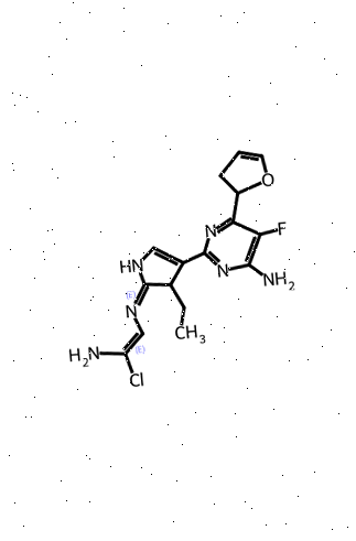 CCC1C(c2nc(N)c(F)c(C3CC=CO3)n2)=CN/C1=N/C=C(\N)Cl